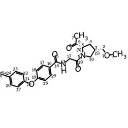 COC[C@H]1C[C@@H](C(C)=O)N(C(=O)CNC(=O)c2ccc(Oc3ccc(F)cc3)cc2)C1